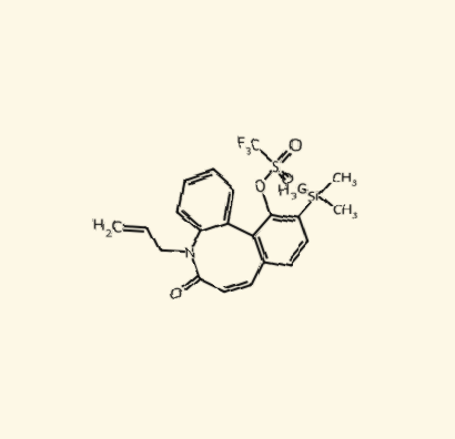 C=CCN1C(=O)C=Cc2ccc([Si](C)(C)C)c(OS(=O)(=O)C(F)(F)F)c2-c2ccccc21